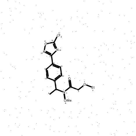 CCOCC(=O)N(OC)C(C)c1ccc(-c2noc(C(F)(F)F)n2)cc1